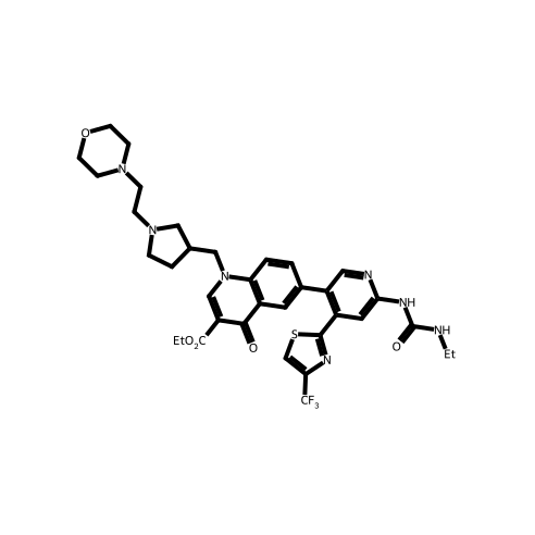 CCNC(=O)Nc1cc(-c2nc(C(F)(F)F)cs2)c(-c2ccc3c(c2)c(=O)c(C(=O)OCC)cn3CC2CCN(CCN3CCOCC3)C2)cn1